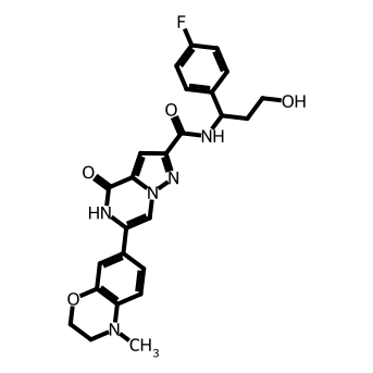 CN1CCOc2cc(-c3cn4nc(C(=O)NC(CCO)c5ccc(F)cc5)cc4c(=O)[nH]3)ccc21